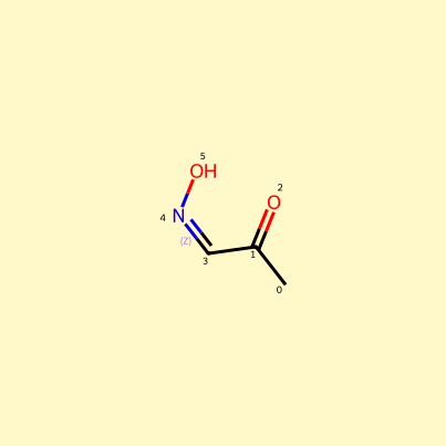 CC(=O)/C=N\O